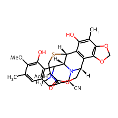 COc1c(C)cc2c(c1O)C1[C@@H]3[C@@H]4SCC(NC(C)=O)C(=O)OC[C@@H](c5c6c(c(C)c(O)c54)OCO6)N3[C@@H](C#N)C(C2)N1C